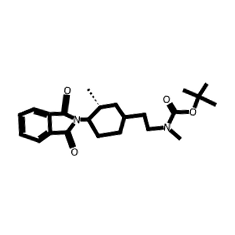 C[C@@H]1CC(CCN(C)C(=O)OC(C)(C)C)CCC1N1C(=O)c2ccccc2C1=O